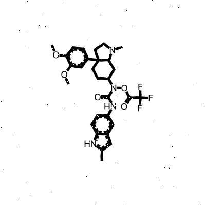 COc1ccc(C23CCC(N(OC(=O)C(F)(F)F)C(=O)Nc4ccc5[nH]c(C)cc5c4)CC2N(C)CC3)cc1OC